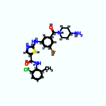 Cc1cccc(Cl)c1NC(=O)c1cnc(Nc2cc(Br)cc(C(=O)N3CCC(N)CC3)c2)s1